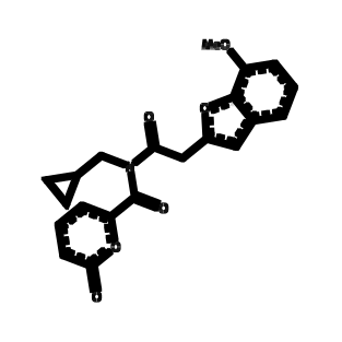 COc1cccc2cc(CC(=O)N(CC3CC3)C(=O)c3cccc(=O)o3)oc12